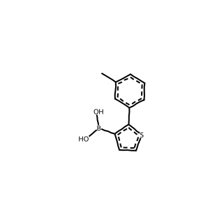 Cc1cccc(-c2sccc2B(O)O)c1